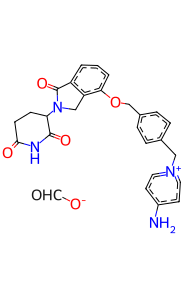 Nc1cc[n+](Cc2ccc(COc3cccc4c3CN(C3CCC(=O)NC3=O)C4=O)cc2)cc1.O=C[O-]